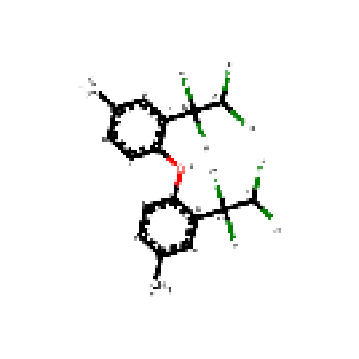 Cc1ccc(Oc2ccc(C)cc2C(F)(F)C(F)F)c(C(F)(F)C(F)F)c1